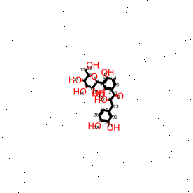 O=C(c1ccc(O)c(C2OC(CO)C(O)C(O)C2O)c1O)C(O)Cc1ccc(O)c(O)c1